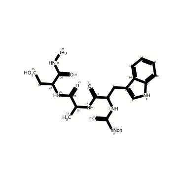 CCCCCCCCCC(=O)NC(Cc1c[nH]c2ccccc12)C(=O)NC(C)C(=O)NC(CC(=O)O)C(=O)NC(C)(C)C